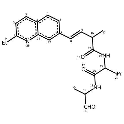 CCc1ccc2ccc(/C=C/C(C)C(=O)NC(C(=O)NC(C)C=O)C(C)C)cc2n1